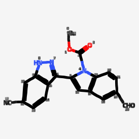 CC(C)(C)OC(=O)n1c(-c2n[nH]c3cc(C#N)ccc23)cc2cc(C=O)ccc21